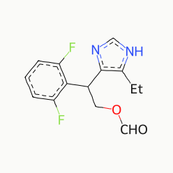 CCc1[nH]cnc1C(COC=O)c1c(F)cccc1F